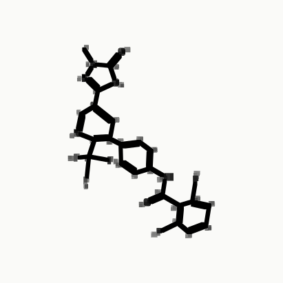 Cn1nc(-c2cnc(C(F)(F)F)c(-c3ccc(NC(=O)c4c(F)cccc4F)cc3)c2)oc1=O